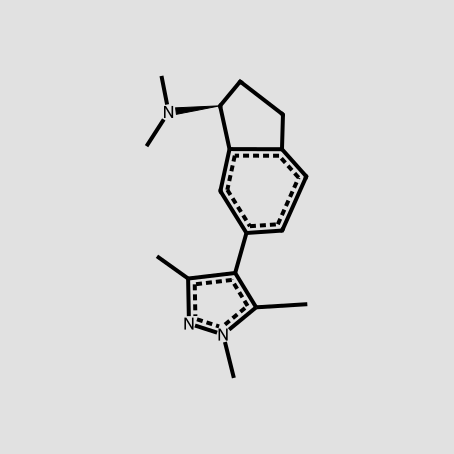 Cc1nn(C)c(C)c1-c1ccc2c(c1)[C@@H](N(C)C)CC2